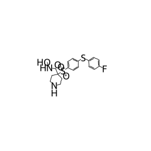 O=C(NO)C1(S(=O)(=O)c2ccc(Sc3ccc(F)cc3)cc2)CCNCC1